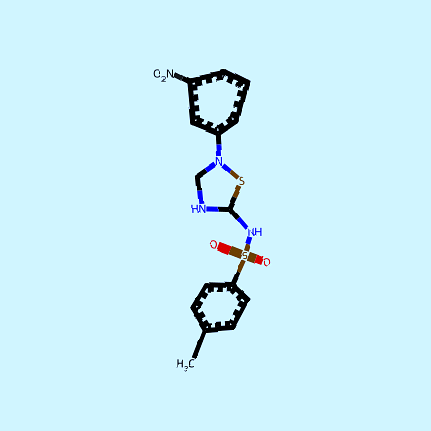 Cc1ccc(S(=O)(=O)NC2NCN(c3cccc([N+](=O)[O-])c3)S2)cc1